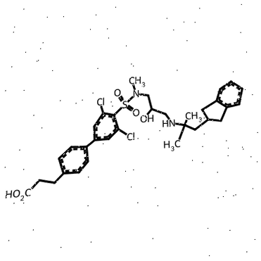 CN(CC(O)CNC(C)(C)CC1Cc2ccccc2C1)S(=O)(=O)c1c(Cl)cc(-c2ccc(CCC(=O)O)cc2)cc1Cl